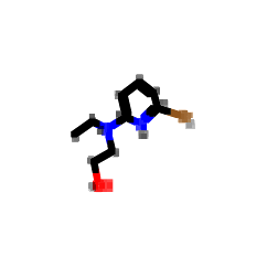 CCN(CCO)c1cccc(Br)n1